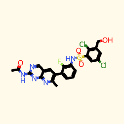 CC(=O)Nc1ncc2cc(-c3cccc(NS(=O)(=O)c4cc(Cl)cc(CO)c4Cl)c3F)c(C)nc2n1